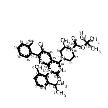 Cc1ccnc(C(C)C)c1-n1c(=O)nc(N2CCN(C(=O)OC(C)(C)C)[C@H](C)C2)c2cc(Cl)c(-c3ccccc3F)nc21